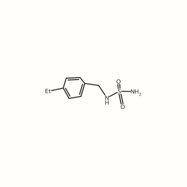 CCc1ccc(CNS(N)(=O)=O)cc1